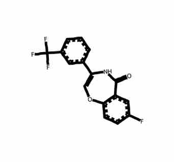 O=C1NC(c2cccc(C(F)(F)F)c2)=COc2ccc(F)cc21